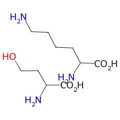 NC(CCO)C(=O)O.NCCCCC(N)C(=O)O